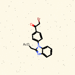 CC(=O)OCc1nc2ccccc2n1-c1ccc(C(=O)CBr)cc1